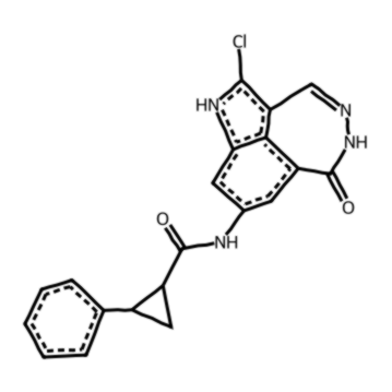 O=C1NN=Cc2c(Cl)[nH]c3cc(NC(=O)C4CC4c4ccccc4)cc1c23